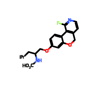 CC(C)CC(COc1ccc2c(c1)OCc1ccnc(F)c1-2)NC(=O)O